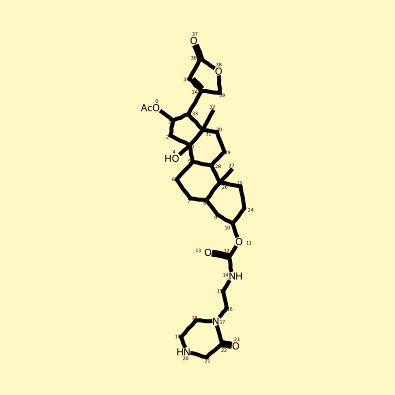 CC(=O)OC1CC2(O)C3CCC4CC(OC(=O)NCCN5CCNCC5=O)CCC4(C)C3CCC2(C)C1C1=CC(=O)OC1